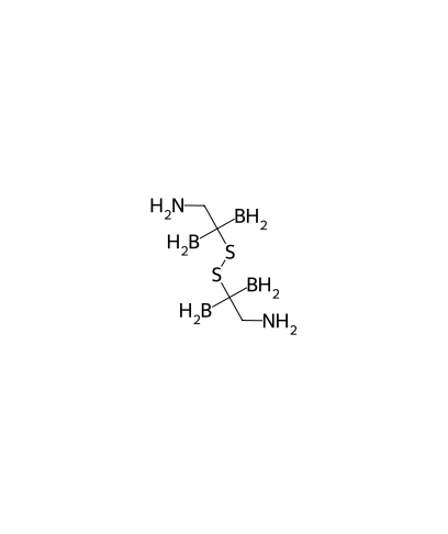 BC(B)(CN)SSC(B)(B)CN